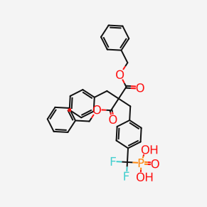 O=C(OCc1ccccc1)C(Cc1ccccc1)(Cc1ccc(C(F)(F)P(=O)(O)O)cc1)C(=O)OCc1ccccc1